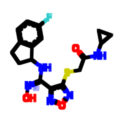 O=C(CSc1nonc1/C(=N\O)NC1CCc2ccc(F)cc21)NC1CC1